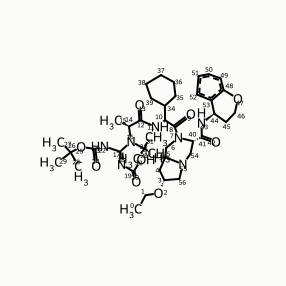 CCO[C@@H]1C[C@@H]2CN(C(=O)[C@@H](NC(=O)[C@H](C)N(C(=NC(=O)O)NC(=O)OC(C)(C)C)C(C)(C)C)C3CCCCC3)[C@H](C(=O)N[C@@H]3CCOc4ccccc43)CN2C1